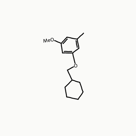 COc1cc(C)cc(OCC2CCCCC2)c1